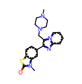 CN1CCN(Cc2c(-c3ccc4sc(=O)n(C)c4c3)nc3ccccn23)CC1